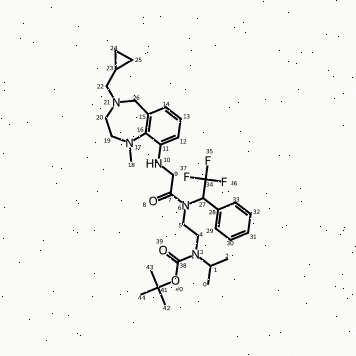 CC(C)N(CCN(C(=O)CNc1cccc2c1N(C)CCN(CC1CC1)C2)C(c1ccccc1)C(F)(F)F)C(=O)OC(C)(C)C